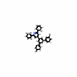 Cc1ccc(-c2cc(-c3cccc(C)c3)cc(-c3cc(-c4ccccc4)nc(-c4ccccc4)c3)c2)cc1